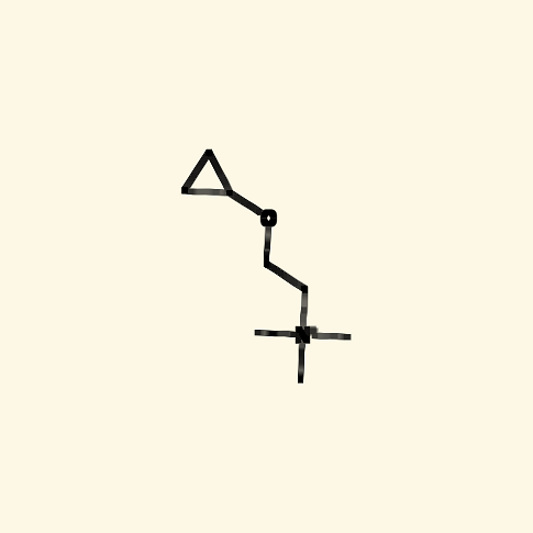 C[N+](C)(C)CCOC1CC1